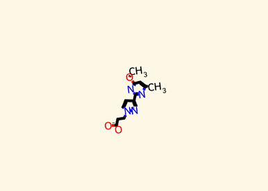 COc1cc(C)nc(-c2cc[n+](CCC(=O)[O-])nc2)n1